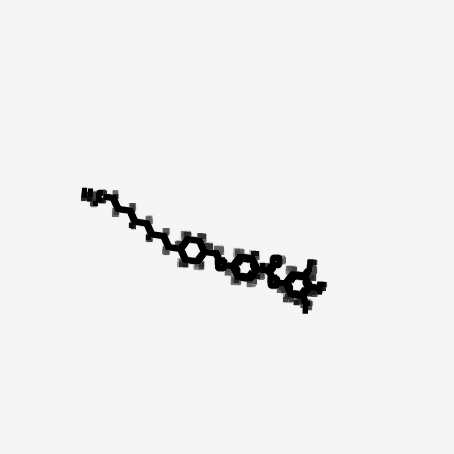 CCCCCCCCCC1CCC(COc2ccc(C(=O)Oc3cc(F)c(F)c(F)c3)cc2)CC1